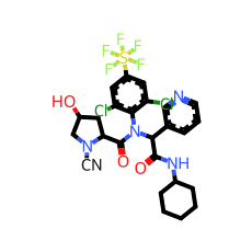 N#CN1CC(O)CC1C(=O)N(c1c(Cl)cc(S(F)(F)(F)(F)F)cc1Cl)C(C(=O)NC1CCCCC1)c1cccnc1